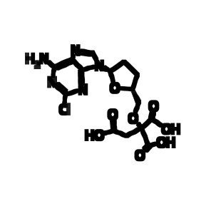 Nc1nc(Cl)nc2c1ncn2[C@H]1CC[C@@H](COC(CC(=O)O)(C(=O)O)C(=O)O)O1